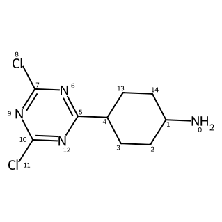 NC1CCC(c2nc(Cl)nc(Cl)n2)CC1